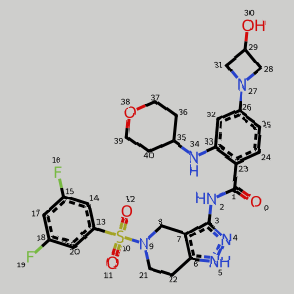 O=C(Nc1n[nH]c2c1CN(S(=O)(=O)c1cc(F)cc(F)c1)CC2)c1ccc(N2CC(O)C2)cc1NC1CCOCC1